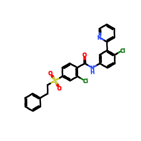 O=C(Nc1ccc(Cl)c(-c2ccccn2)c1)c1ccc(S(=O)(=O)CCc2ccccc2)cc1Cl